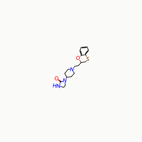 O=C1NCCN1C1CCN(CCC2CSc3ccccc3O2)CC1